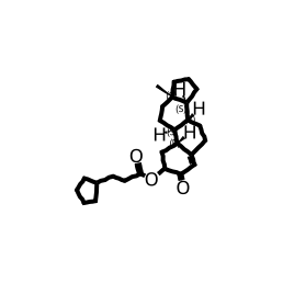 C[C@@]12CCC[C@H]1[C@@H]1CCC3=CC(=O)C(OC(=O)CCC4CCCC4)C[C@@H]3[C@H]1CC2